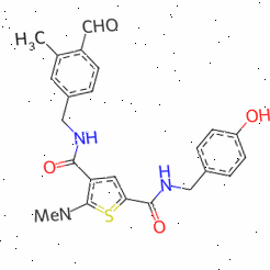 CNc1sc(C(=O)NCc2ccc(O)cc2)cc1C(=O)NCc1ccc(C=O)c(C)c1